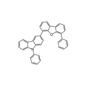 c1ccc(-c2cccc3c2oc2c(-c4ccc5c(c4)c4ccccc4n5-c4ccccc4)cccc23)cc1